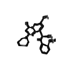 Cc1cc([C@@H](C)Nc2ccccc2C(=O)O)c2nc(N3CCCCC3)cc(=O)n2c1